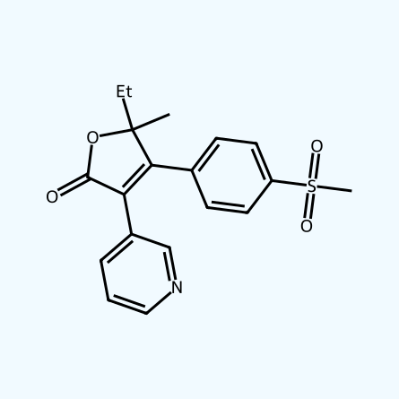 CCC1(C)OC(=O)C(c2cccnc2)=C1c1ccc(S(C)(=O)=O)cc1